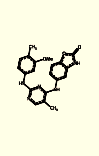 COc1cc(Nc2ncc(C)c(Nc3ccc4oc(=O)[nH]c4c3)n2)ccc1C